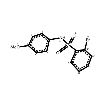 COc1ccc(NS(=O)(=O)c2ccccc2Br)cc1